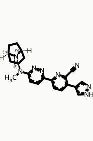 CN(c1ccc(-c2ccc(-c3cn[nH]c3)c(C#N)n2)nn1)[C@H]1C[C@H]2CC[C@@H](C1)N2